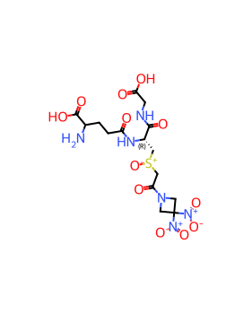 NC(CCC(=O)N[C@@H](C[S+]([O-])CC(=O)N1CC([N+](=O)[O-])([N+](=O)[O-])C1)C(=O)NCC(=O)O)C(=O)O